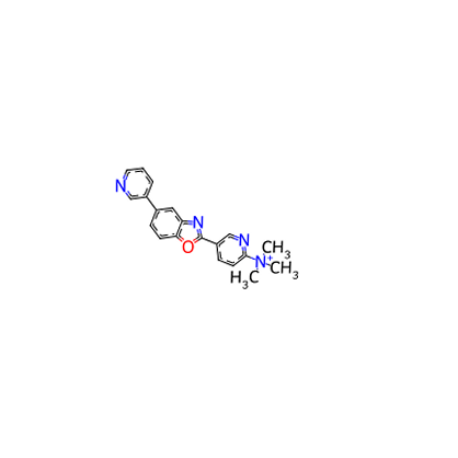 C[N+](C)(C)c1ccc(-c2nc3cc(-c4cccnc4)ccc3o2)cn1